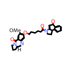 COc1cc2c(cc1OCCCCCC(=O)N1CCC3C1=CC(=O)c1ccccc13)N=C[C@@H]1CCCN1C2=O